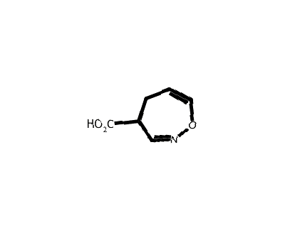 O=C(O)C1C=NOC=CC1